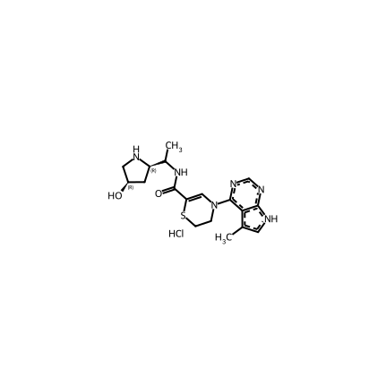 Cc1c[nH]c2ncnc(N3C=C(C(=O)NC(C)[C@H]4C[C@@H](O)CN4)SCC3)c12.Cl